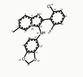 Cc1ccc2nc(-c3c(F)cccc3Cl)c(Nc3ccc4c(c3)OCO4)n2c1